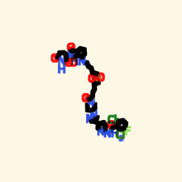 C[C@@H](Oc1cc(-c2cnn(C3CCN(C(=O)CCCCCS(=O)(=O)CCCCCNc4cccc5c4C(=O)N(C4CCC(=O)NC4=O)C5=O)CC3)c2)cnc1N)c1c(Cl)ccc(F)c1Cl